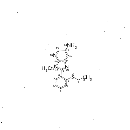 CCSc1ccccc1-c1nc2cc(N)cnc2n1C